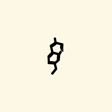 CCc1ccc2cc(C)cnc2c1